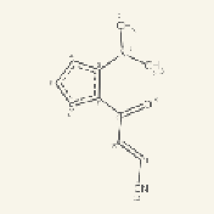 CN(C)c1ccsc1C(=O)C=CC#N